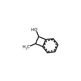 CC1c2ccccc2C1O